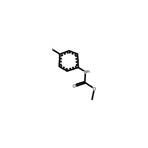 [CH2]OC(=O)Nc1ccc(I)cc1